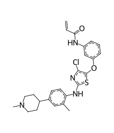 C=CC(=O)Nc1cccc(Oc2sc(Nc3ccc(C4CCN(C)CC4)cc3C)nc2Cl)c1